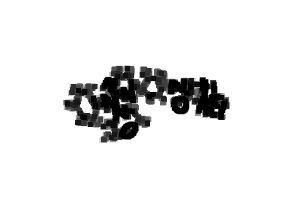 CCNCC(=O)Nc1ccc(-c2ccnc(N(c3ccccc3)N3CCOCC3)n2)cc1